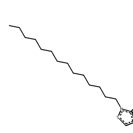 CCCCCCCCCCCCCCn1sccc1=O